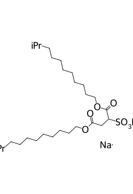 CC(C)CCCCCCCCCOC(=O)CC(C(=O)OCCCCCCCCCC(C)C)S(=O)(=O)O.[Na]